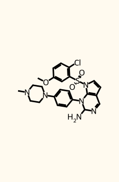 COc1ccc(Cl)c(S(=O)(=O)n2ccc3c2N(c2ccc(N4CCN(C)CC4)cc2)C(N)N=C3)c1